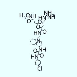 CNC(=O)CCC(=O)OC(CCCNC(=N)N)C(=O)NCCN1CCC(NC(=O)C(=O)Nc2ccc(Cl)cc2)CC12CCCCC2